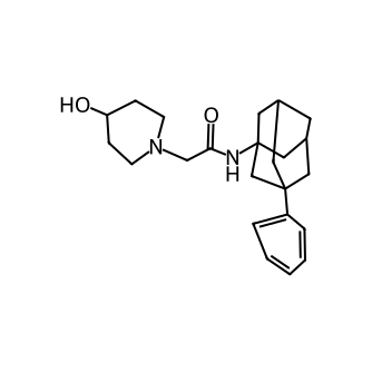 O=C(CN1CCC(O)CC1)NC12CC3CC(C1)CC(c1ccccc1)(C3)C2